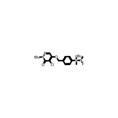 CCCCS(C)(c1ccc(COc2cnn(C(C)(C)C)c(=O)c2Cl)cc1)N(C)F